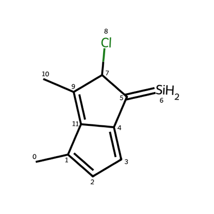 CC1=CC=C2C(=[SiH2])C(Cl)C(C)=C12